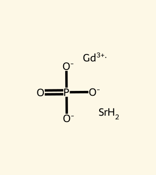 O=P([O-])([O-])[O-].[Gd+3].[SrH2]